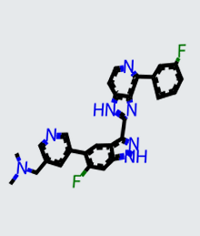 CN(C)Cc1cncc(-c2cc3c(-c4nc5c(-c6cccc(F)c6)nccc5[nH]4)n[nH]c3cc2F)c1